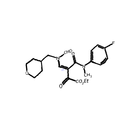 CCOC(=O)C(=O)/C(=C/N(C=O)CC1CCOCC1)C(=O)N(C)c1ccc(F)cc1